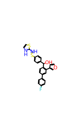 OC(c1ccc(SNC2NC=CS2)cc1)c1ccc(-c2ccc(F)cc2)cc1-c1ccoc1